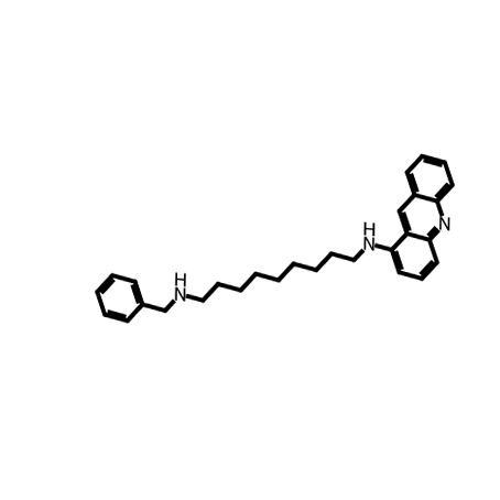 c1ccc(CNCCCCCCCCCNc2cccc3nc4ccccc4cc23)cc1